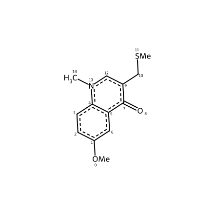 COc1ccc2c(c1)c(=O)c(CSC)cn2C